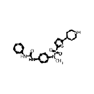 CN(c1ccc(NC(=O)Nc2ccccc2)cc1)S(=O)(=O)c1ccc(C2CCNCC2)s1